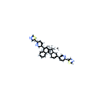 CC1(C)c2cc(-c3ccc(-c4cncs4)nc3)ccc2-c2c1cc(-c1ccc(-c3cncs3)nc1)c1ccccc21